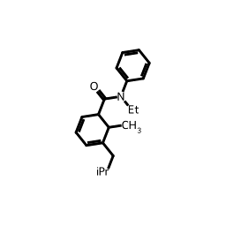 CCN(C(=O)C1C=CC=C(CC(C)C)C1C)c1ccccc1